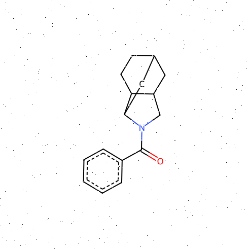 O=C(c1ccccc1)N1CC2CC3CCC2C1C3